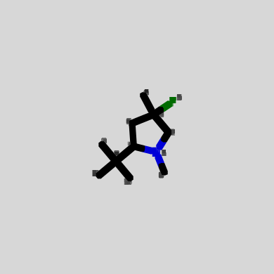 CN1CC(C)(F)CC1C(C)(C)C